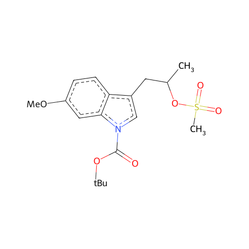 COc1ccc2c(CC(C)OS(C)(=O)=O)cn(C(=O)OC(C)(C)C)c2c1